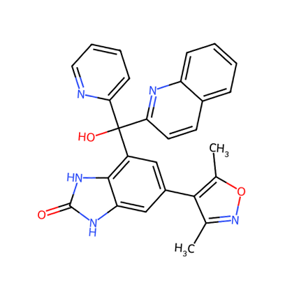 Cc1noc(C)c1-c1cc(C(O)(c2ccccn2)c2ccc3ccccc3n2)c2[nH]c(=O)[nH]c2c1